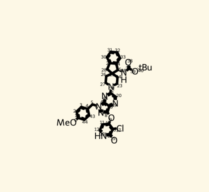 COc1ccc(Cn2nc(Oc3cc[nH]c(=O)c3Cl)c3ncc(N4CCC5(CC4)Cc4ccccc4[C@H]5NC(=O)OC(C)(C)C)nc32)cc1